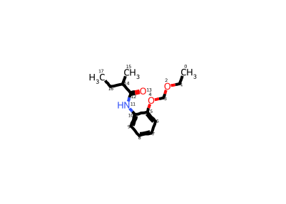 CCOCOc1ccccc1NC(=O)C(C)CC